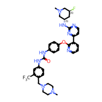 CN1CCN(Cc2ccc(NC(=O)Nc3ccc(Oc4ncccc4-c4ccnc(N[C@H]5C[C@H](F)CN(C)C5)n4)cc3)cc2C(F)(F)F)CC1